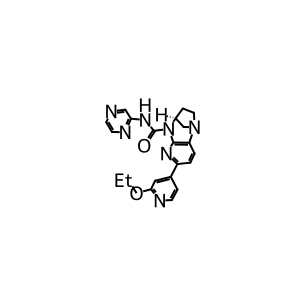 CCOc1cc(-c2ccc3c(n2)N(C(=O)Nc2cnccn2)[C@H]2CCN3C2)ccn1